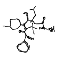 CC(C)C[C@@H](CC(=O)NO)C(=O)N(C1CCC(C)CC1)[C@H](C(=O)Nc1ccccn1)C(C)(C)C